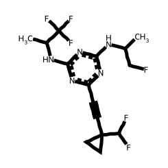 CC(CF)Nc1nc(C#CC2(C(F)F)CC2)nc(NC(C)C(F)(F)F)n1